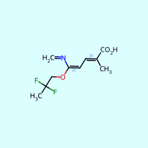 C=N/C(=C\C=C(/C)C(=O)O)OCC(C)(F)F